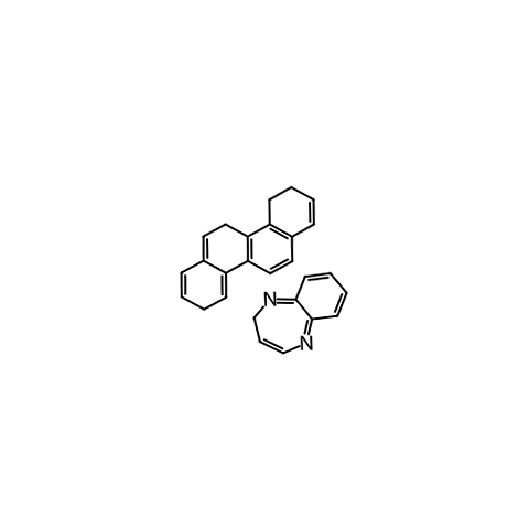 C1=CC2=CCc3c(ccc4c3CCC=C4)C2=CC1.C1=CN=c2ccccc2=NC1